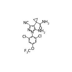 N#Cc1nn(-c2c(Cl)cc(OC(F)(F)F)cc2Cl)c(N)c1C1(C(N)=O)CC1